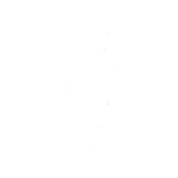 CC(=CCC(Cl)(Cl)c1ccccc1)C(=O)O